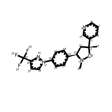 CN1O[C@@](C)(c2cccnc2)C[C@@H]1c1ccc(-n2ccc(C(F)(F)F)n2)cc1